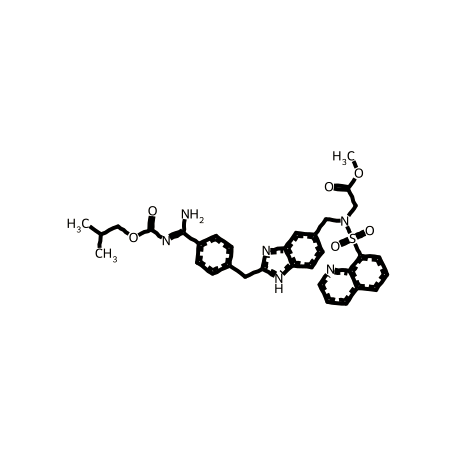 COC(=O)CN(Cc1ccc2[nH]c(Cc3ccc(C(N)=NC(=O)OCC(C)C)cc3)nc2c1)S(=O)(=O)c1cccc2cccnc12